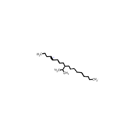 [CH2]CC/C=C/CCCC(CCCCCCCC[CH2])C(C)C